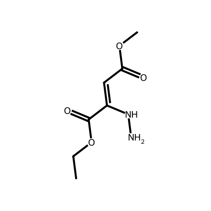 CCOC(=O)/C(=C/C(=O)OC)NN